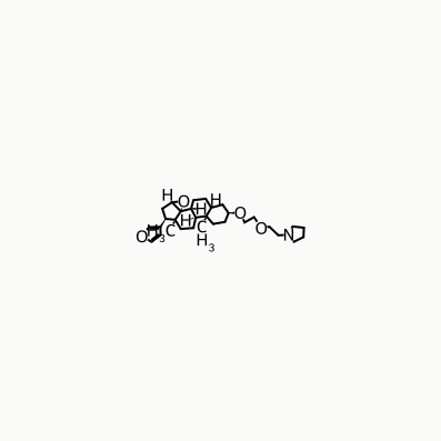 C[C@]12CC[C@H](OCCOCCN3CCCC3)C[C@H]1CC[C@@H]1[C@@H]2CC[C@]2(C)[C@@H](c3ccoc3)C[C@@H]3O[C@]312